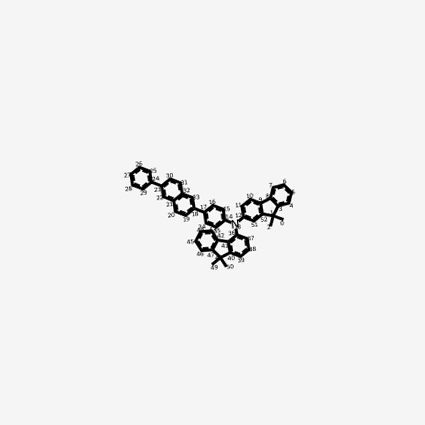 CC1(C)c2ccccc2-c2ccc(N(c3ccc(-c4ccc5cc(-c6ccccc6)ccc5c4)cc3)c3cccc4c3-c3ccccc3C4(C)C)cc21